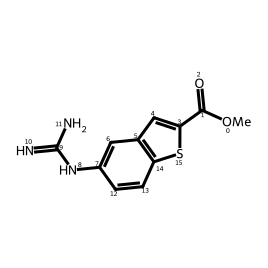 COC(=O)c1cc2cc(NC(=N)N)ccc2s1